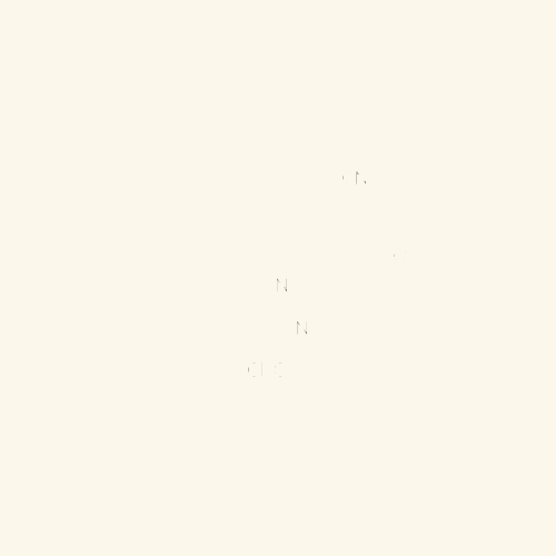 N#CC(=Cc1ccccc1)C1=NN(C(Cl)(Cl)Cl)CC1=O